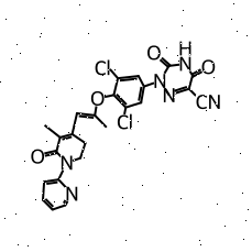 CC1=C(/C=C(\C)Oc2c(Cl)cc(-n3nc(C#N)c(=O)[nH]c3=O)cc2Cl)CCN(c2ccccn2)C1=O